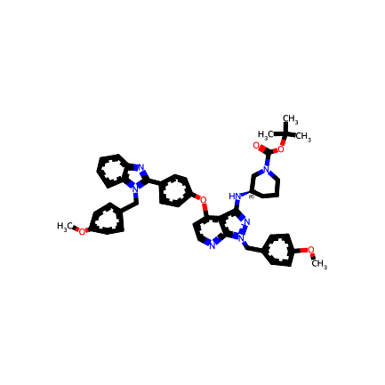 COc1ccc(Cn2nc(N[C@@H]3CCCN(C(=O)OC(C)(C)C)C3)c3c(Oc4ccc(-c5nc6ccccc6n5Cc5ccc(OC)cc5)cc4)ccnc32)cc1